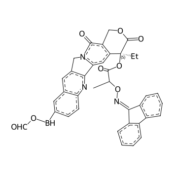 CC[C@@]1(OC(=O)C(C)ON=C2c3ccccc3-c3ccccc32)C(=O)OCc2c1cc1n(c2=O)Cc2cc3cc(BOC=O)ccc3nc2-1